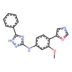 COc1cc(Nc2n[nH]c(-c3ccccc3)n2)ccc1-c1cnco1